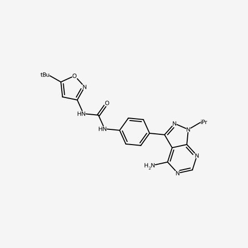 CC(C)n1nc(-c2ccc(NC(=O)Nc3cc(C(C)(C)C)on3)cc2)c2c(N)ncnc21